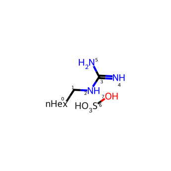 CCCCCCCNC(=N)N.O=S(=O)(O)O